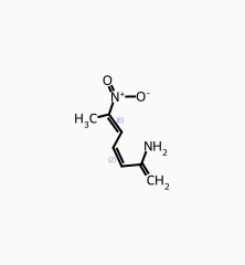 C=C(N)/C=C\C=C(/C)[N+](=O)[O-]